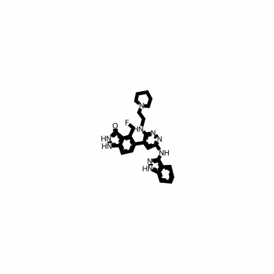 O=c1[nH][nH]c2ccc(-c3cc(Nc4n[nH]c5ccccc45)nnc3NCCN3CCCCC3)c(CF)c12